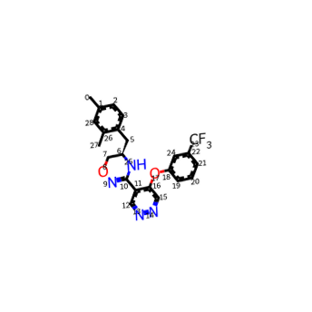 Cc1ccc(C[C@@H]2CON=C(c3cnncc3Oc3cccc(C(F)(F)F)c3)N2)c(C)c1